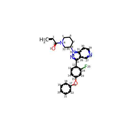 C=CC(=O)N1CCC[C@@H](n2nc(-c3ccc(Oc4ccccc4)cc3F)c3cnccc32)C1